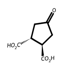 O=C1C[C@@H](C(=O)O)[C@H](C(=O)O)C1